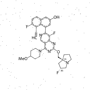 C#Cc1c(F)ccc2cc(O)cc(-c3ncc4c(N5CCC(OC)CC5)nc(OC[C@@]56CCCN5C[C@H](F)C6)nc4c3F)c12